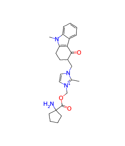 Cc1n(CC2CCc3c(c4ccccc4n3C)C2=O)cc[n+]1COC(=O)C1(N)CCCC1